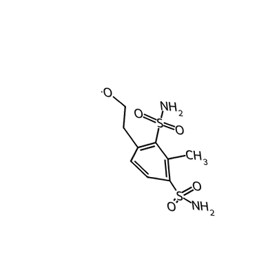 Cc1c(S(N)(=O)=O)ccc(CC[O])c1S(N)(=O)=O